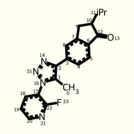 Cc1c(-c2ccc3c(c2)CC(C(C)C)C3=O)nnn1-c1cccnc1F